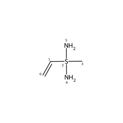 C=CS(C)(N)N